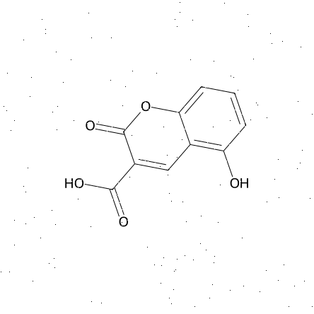 O=C(O)c1cc2c(O)cccc2oc1=O